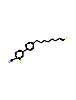 N#Cc1ccc(-c2ccc(CCCCCCC=CF)cc2)cc1F